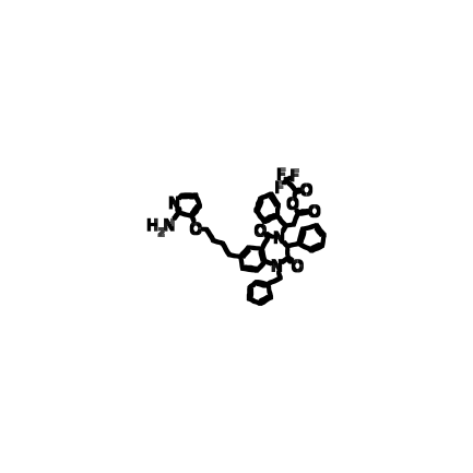 Nc1ncccc1OCCCCc1ccc2c(c1)C(=O)N(C(CC(=O)OC(=O)C(F)(F)F)c1ccccc1)C(c1ccccc1)C(=O)N2Cc1ccccc1